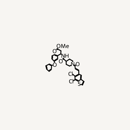 COC(=O)CC(NC(=O)C1CCN(C(=O)/C=C/c2cc3ccsc3c(Cl)c2Cl)CC1)c1cccc(Oc2ccccc2)c1